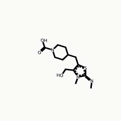 C/N=c1/sc(CC2CCN(C(=O)O)CC2)c(CO)n1C